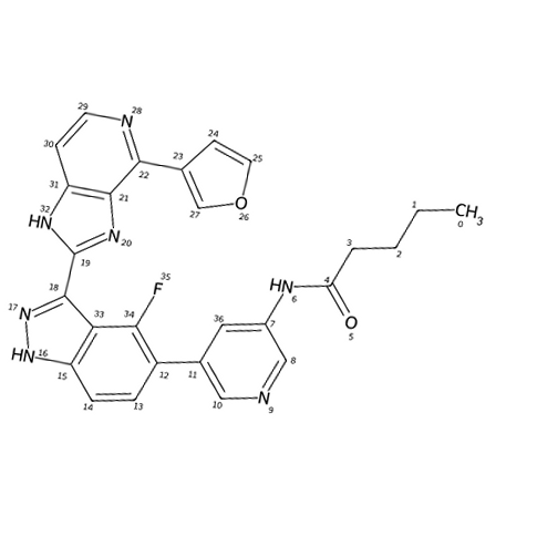 CCCCC(=O)Nc1cncc(-c2ccc3[nH]nc(-c4nc5c(-c6ccoc6)nccc5[nH]4)c3c2F)c1